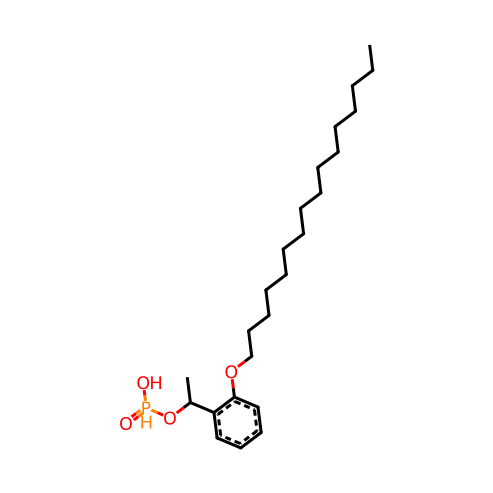 CCCCCCCCCCCCCCCCOc1ccccc1C(C)O[PH](=O)O